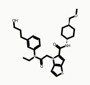 CCN(C(=O)Cn1c(C(=O)N[C@H]2CC[C@H](COC)CC2)cc2sccc21)c1cccc(CCCO)c1